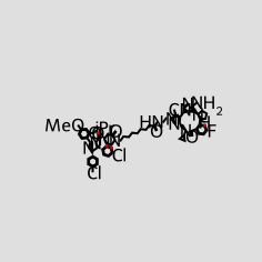 COc1ccc(C2=N[C@@H](c3ccc(Cl)cc3)[C@@H](c3ccc(Cl)cc3)N2C(=O)N2CCN(CCCCCCCCC(=O)NCCn3nc4c(c3C#N)-c3cnc(N)c(c3)N3CCC[C@@H]3c3cc(F)ccc3C(=O)N(C3CC3)C4)C(=O)C2)c(OC(C)C)c1